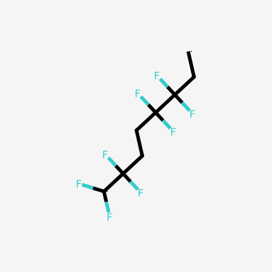 [CH2]CC(F)(F)C(F)(F)CCC(F)(F)[C](F)F